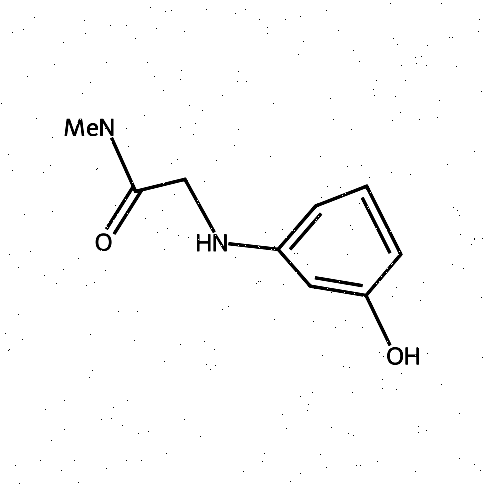 CNC(=O)CNc1cccc(O)c1